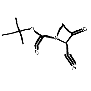 CC(C)(C)OC(=O)N1CC(=O)C1C#N